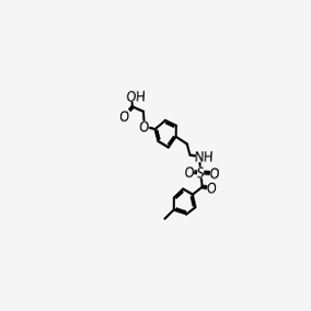 Cc1ccc(C(=O)S(=O)(=O)NCCc2ccc(OCC(=O)O)cc2)cc1